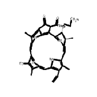 C=Cc1c(C)c2cc3nc(c4c5[nH]c(cc6nc(cc1[nH]2)C(C)=C6CC)c(C)c5C(=O)C4C(=O)OC)[C@H](CCC(=O)O)[C@H]3C